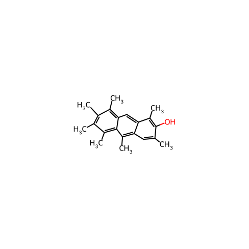 Cc1cc2c(C)c3c(C)c(C)c(C)c(C)c3cc2c(C)c1O